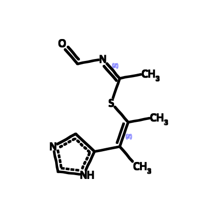 C/C(=N/C=O)S/C(C)=C(/C)c1cnc[nH]1